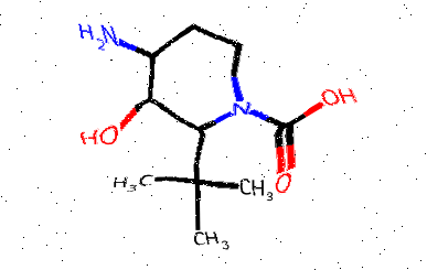 CC(C)(C)C1C(O)C(N)CCN1C(=O)O